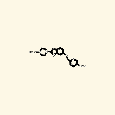 COc1ccc(COc2ccc3nc(N4CCN(C(=O)O)CC4)oc3c2)nc1